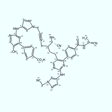 Cc1cnc(Nc2cnn(CC#[N+]CC(CCc3cnc(Nc4cnn(CC#N)c4)nc3-c3ccc(C(=O)N[C@@H](C)C#N)cc3)[C@H](N)C#N)c2)nc1-c1ccc(C(=O)O)cc1